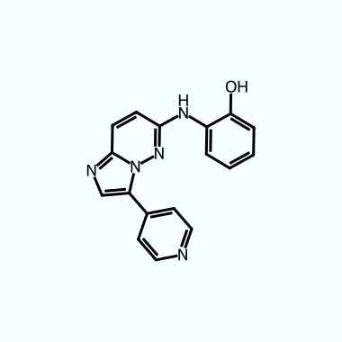 Oc1ccccc1Nc1ccc2ncc(-c3ccncc3)n2n1